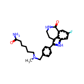 CN(CCCCCC(N)=O)Cc1ccc(-c2[nH]c3cc(F)cc4c3c2CCNC4=O)cc1